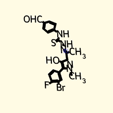 C/C(=N\NC(=S)Nc1ccc(C=O)cc1)c1nn(C)c(-c2ccc(F)c(Br)c2)c1O